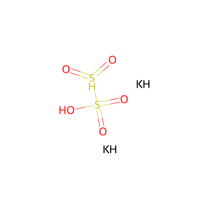 O=[SH](=O)S(=O)(=O)O.[KH].[KH]